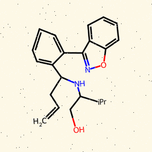 C=CCC(NC(CO)C(C)C)c1ccccc1-c1noc2ccccc12